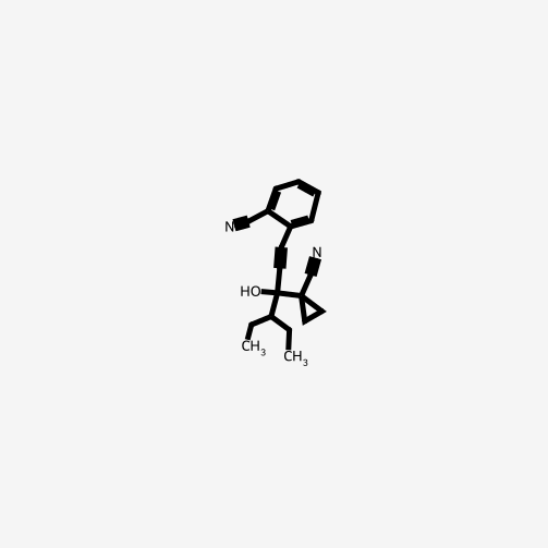 CCC(CC)C(O)(C#Cc1ccccc1C#N)C1(C#N)CC1